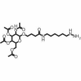 CC(=O)NC1C(OCCCC(=O)NCCCCCCNN)OC(COC(C)=O)C(OC(C)=O)C1OC(C)=O